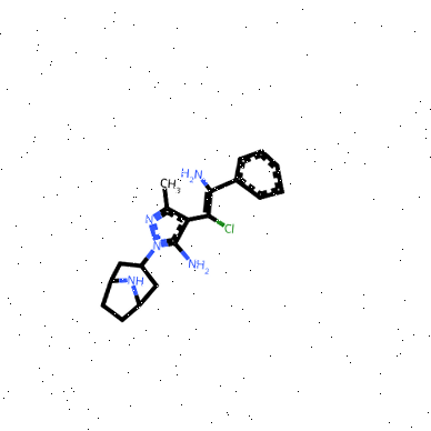 Cc1nn(C2CC3CCC(C2)N3)c(N)c1/C(Cl)=C(\N)c1ccccc1